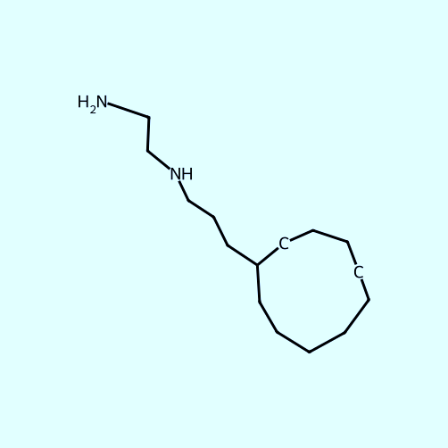 NCCNCCCC1CCCCCCCCC1